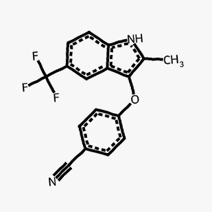 Cc1[nH]c2ccc(C(F)(F)F)cc2c1Oc1ccc(C#N)cc1